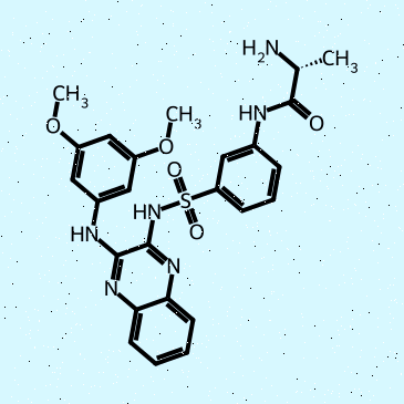 COc1cc(Nc2nc3ccccc3nc2NS(=O)(=O)c2cccc(NC(=O)[C@@H](C)N)c2)cc(OC)c1